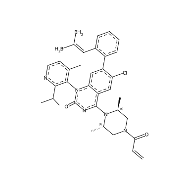 BC(B)=Cc1ccccc1-c1cc2c(cc1Cl)c(N1[C@@H](C)CN(C(=O)C=C)C[C@@H]1C)nc(=O)n2-c1c(C)ccnc1C(C)C